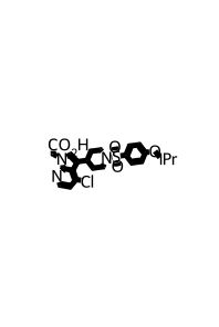 CC(C)Oc1ccc(S(=O)(=O)N2CCC(c3cn(CC(=O)O)c4nccc(Cl)c34)CC2)cc1